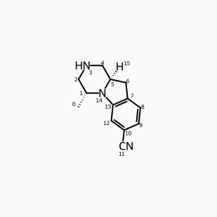 C[C@@H]1CNC[C@H]2Cc3ccc(C#N)cc3N21